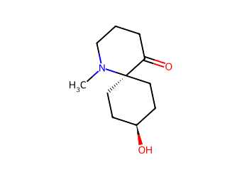 CN1CCCC(=O)[C@]12CC[C@H](O)CC2